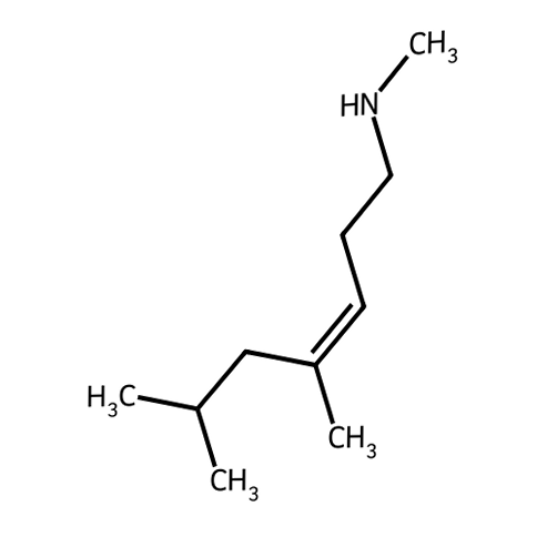 CNCC/C=C(/C)CC(C)C